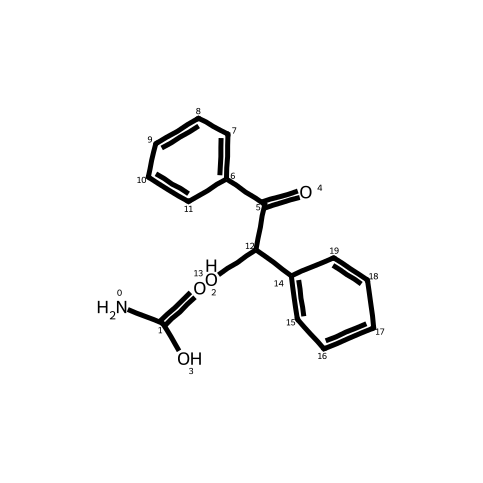 NC(=O)O.O=C(c1ccccc1)C(O)c1ccccc1